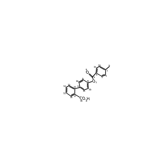 Cc1ccc(C(=O)Oc2ccc(-c3ccccc3C(=O)O)cc2)cc1